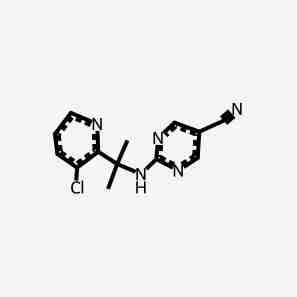 CC(C)(Nc1ncc(C#N)cn1)c1ncccc1Cl